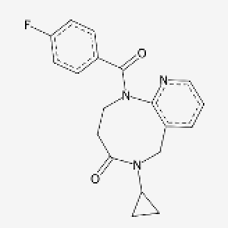 O=C(c1ccc(F)cc1)N1CCC(=O)N(C2CC2)Cc2cccnc21